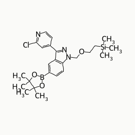 CC1(C)OB(c2ccc3c(c2)c(-c2ccnc(Cl)c2)nn3COCC[Si](C)(C)C)OC1(C)C